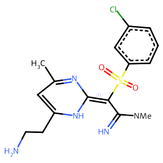 CNC(=N)/C(=C1/N=C(C)C=C(CCN)N1)S(=O)(=O)c1cccc(Cl)c1